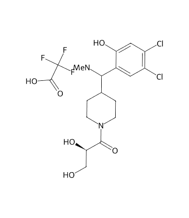 CNC(c1cc(Cl)c(Cl)cc1O)C1CCN(C(=O)[C@H](O)CO)CC1.O=C(O)C(F)(F)F